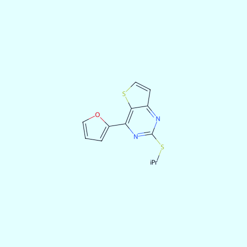 CC(C)Sc1nc(-c2ccco2)c2sccc2n1